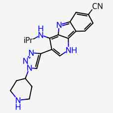 CC(C)Nc1c(-c2cn(C3CCNCC3)nn2)c[nH]c2c3ccc(C#N)cc3nc1-2